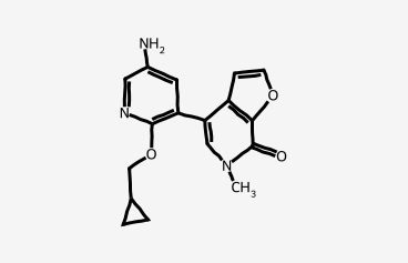 Cn1cc(-c2cc(N)cnc2OCC2CC2)c2ccoc2c1=O